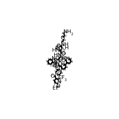 CCOc1ccc(C(=O)N2CCN(c3ccc(-c4cccnc4OCC)nc3CN(CCCNC(=O)[C@@H](CC(=O)NCCOCCN)NC(=O)O)S(=O)(=O)c3ccccc3[N+](=O)[O-])[C@H](CC)C2)c(C(F)(F)F)n1